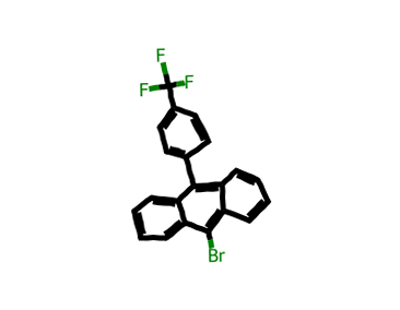 FC(F)(F)c1ccc(-c2c3ccccc3c(Br)c3ccccc23)cc1